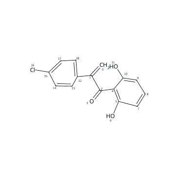 C=C(C(=O)c1c(O)cccc1O)c1ccc(Cl)cc1